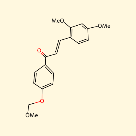 COCOc1ccc(C(=O)C=Cc2ccc(OC)cc2OC)cc1